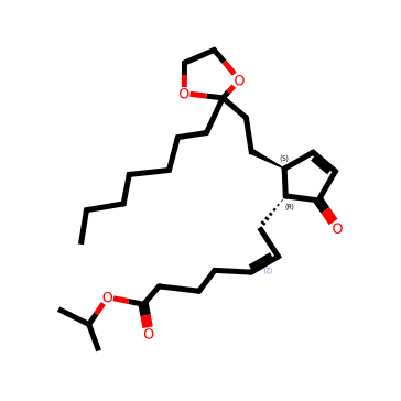 CCCCCCCC1(CC[C@H]2C=CC(=O)[C@@H]2C/C=C\CCCC(=O)OC(C)C)OCCO1